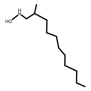 CCCCCCCCCC(C)CNO